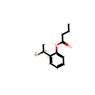 CCCC(=O)Oc1ccccc1C(C)Br